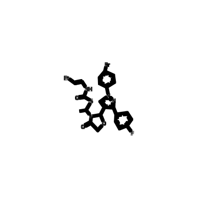 CC/C=C/NC(=O)SC(C)N1C(=O)COC1c1cn(-c2ccc(Br)cc2)nc1-c1ccc(F)cc1